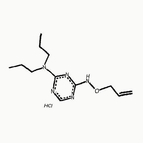 C=CCONc1ncnc(N(CCC)CCC)n1.Cl